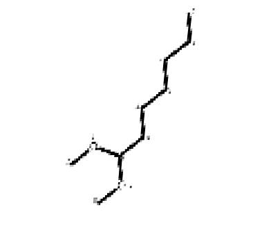 CCCCCCC(OC)OC